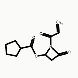 C=CC(=O)N1C(=O)CC1OC(=O)C1CCCC1